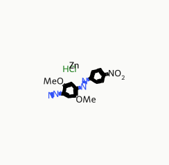 COc1cc([N+]#N)c(OC)cc1N=Nc1ccc([N+](=O)[O-])cc1.Cl.[Zn]